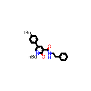 CCCCn1cc(-c2ccc(C(C)(C)C)cc2)cc(C(=O)NCCc2ccccc2)c1=O